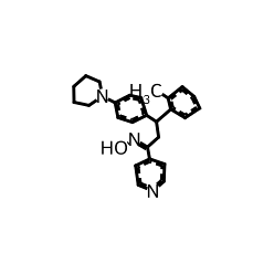 Cc1ccccc1C(CC(=NO)c1ccncc1)c1ccc(N2CCCCC2)cc1